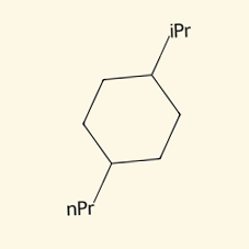 CCCC1CCC(C(C)C)CC1